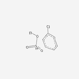 CCO[SH](=O)=O.Clc1ccccc1